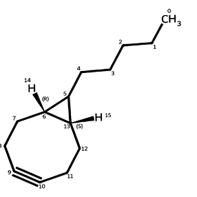 CCCCCC1[C@H]2CCC#CCC[C@@H]12